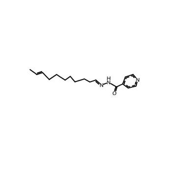 CC=CCCCCCCCC=NNC(=O)c1ccncc1